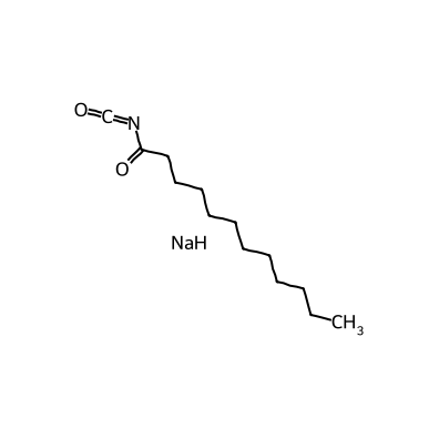 CCCCCCCCCCCC(=O)N=C=O.[NaH]